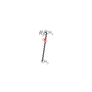 CCCCCCCCCCCCCCCCCCOC(=O)CCCCCC(C)(C)C